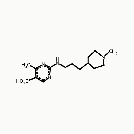 Cc1nc(NCCCC2CCN(C)CC2)ncc1C(=O)O